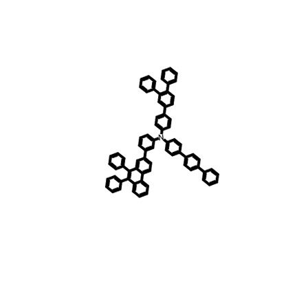 c1ccc(-c2ccc(-c3ccc(N(c4ccc(-c5ccc(-c6ccccc6)c(-c6ccccc6)c5)cc4)c4cccc(-c5ccc6c(c5)c(-c5ccccc5)c(-c5ccccc5)c5ccccc56)c4)cc3)cc2)cc1